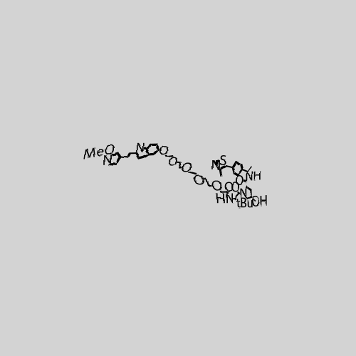 COc1cc(/C=C/c2ccc3cc(OCCOCCOCCOCCOCC(=O)NC(C(=O)N4C[C@H](O)C[C@H]4C(=O)NC(C)c4ccc(-c5scnc5C)cc4)C(C)(C)C)ccc3n2)ccn1